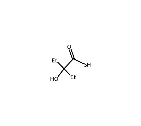 CCC(O)(CC)C(=O)S